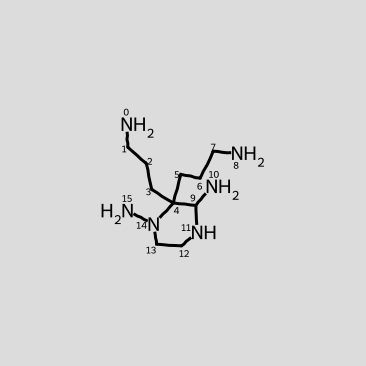 NCCCC1(CCCN)C(N)NCCN1N